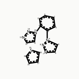 c1ccc(-n2ccnn2)c(-n2ccnn2)c1.c1ccsc1